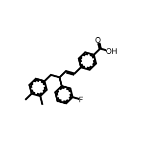 Cc1ccc(CC(C=Cc2ccc(C(=O)O)cc2)c2cccc(F)c2)cc1C